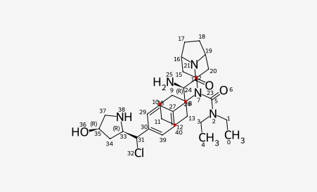 CCN(CC)C(=O)N(C1CCCCC1)C1CC2CCC(C1)N2C(=O)[C@H](N)Cc1ccc(C(Cl)[C@H]2C[C@@H](O)CN2)cc1